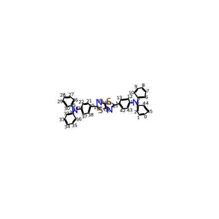 c1ccc(N(c2ccccc2)c2ccc(-c3nc4sc(-c5ccc(N(c6ccccc6)c6ccccc6)cc5)nc4s3)cc2)cc1